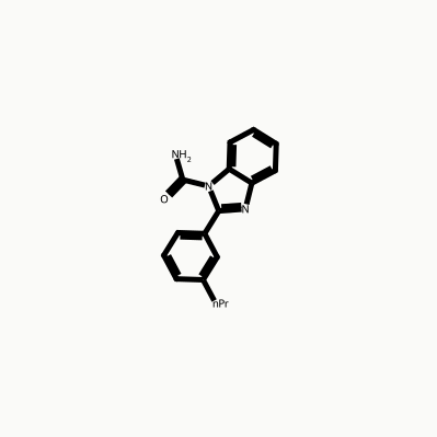 CCCc1cccc(-c2nc3ccccc3n2C(N)=O)c1